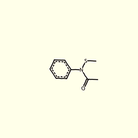 CSN(C(C)=O)c1ccccc1